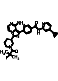 CC(C)(F)C(=O)N1CCCC(c2nc(-c3ccc(C(=O)Nc4cc(C5CC5)ccn4)cc3)c3c(N)nccn23)C1